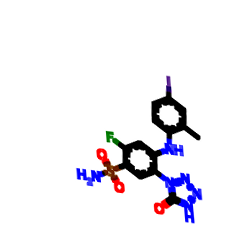 Cc1cc(I)ccc1Nc1cc(F)c(S(N)(=O)=O)cc1-n1nn[nH]c1=O